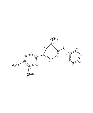 COc1ccc(C2=CCN(Cc3ccccc3)C(C)C2)cc1OC